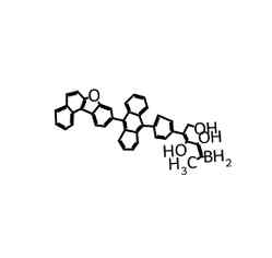 B/C(C)=C(O)/C(O)=C(\CO)c1ccc(-c2c3ccccc3c(-c3ccc4c(c3)oc3ccc5ccccc5c34)c3ccccc23)cc1